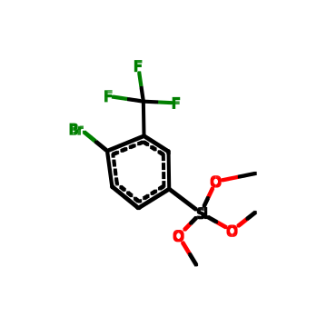 CO[Si](OC)(OC)c1ccc(Br)c(C(F)(F)F)c1